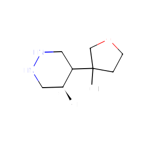 C[C@H]1CNNCC1C1(C)CCOC1